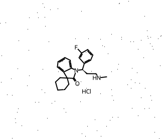 CNCC[C@H](c1cccc(F)c1)N1C(=O)C2(CCCCC2)c2ccccc21.Cl